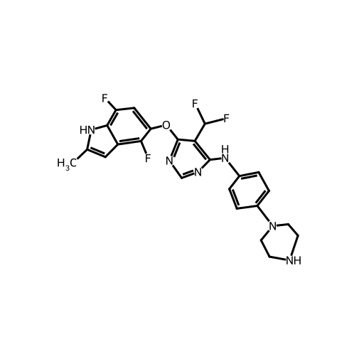 Cc1cc2c(F)c(Oc3ncnc(Nc4ccc(N5CCNCC5)cc4)c3C(F)F)cc(F)c2[nH]1